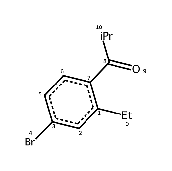 CCc1cc(Br)ccc1C(=O)C(C)C